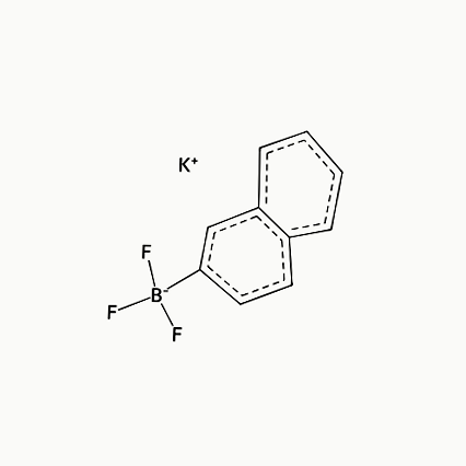 F[B-](F)(F)c1ccc2ccccc2c1.[K+]